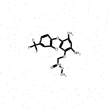 CO[PH](=O)COc1cc(Oc2ccc(C(F)(F)F)cc2Cl)c(C)cc1N